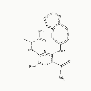 CC(Nc1nc(Nc2ccc3ncccc3c2)c(C(N)=O)cc1F)C(N)=O